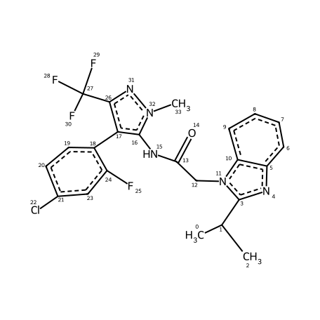 CC(C)c1nc2ccccc2n1CC(=O)Nc1c(-c2ccc(Cl)cc2F)c(C(F)(F)F)nn1C